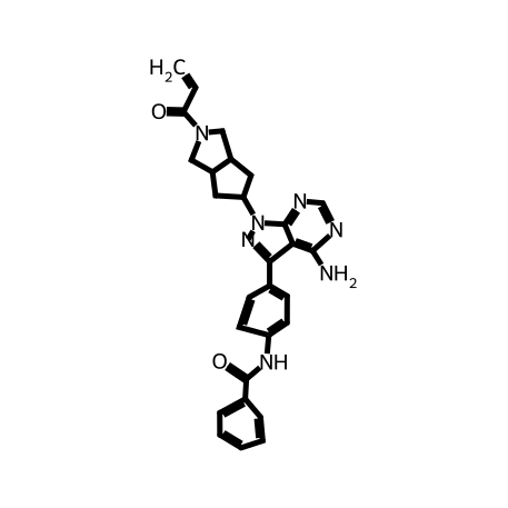 C=CC(=O)N1CC2CC(n3nc(-c4ccc(NC(=O)c5ccccc5)cc4)c4c(N)ncnc43)CC2C1